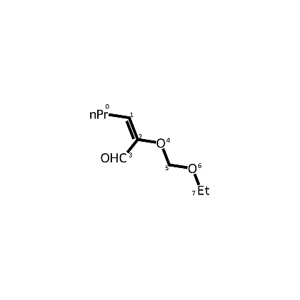 CCC/C=C(\C=O)OCOCC